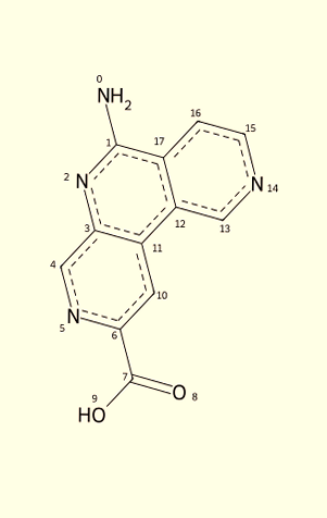 Nc1nc2cnc(C(=O)O)cc2c2cnccc12